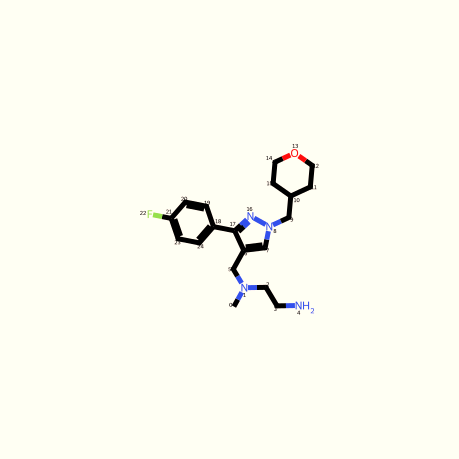 CN(CCN)Cc1cn(CC2CCOCC2)nc1-c1ccc(F)cc1